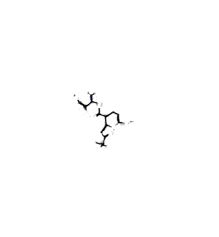 C=N/C=C(Cl)\C(NC(=O)c1ccc(OC)n2nc(C(F)(F)F)cc12)=C(/C)Cl